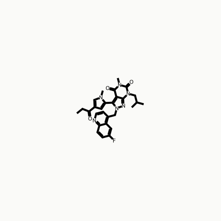 CCC(=O)c1cc(-c2c3c(=O)n(C)c(=O)n(CC(C)C)c3nn2Cc2ccnc3ccc(F)cc23)n(C)c1